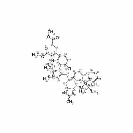 COC(=O)CCc1c(C(=O)OC)n(C)c2c(-c3c(CSCc4nn(C)cc4CO[Si](c4ccccc4)(c4ccccc4)C(C)(C)C)nn(C)c3C)c(Cl)ccc12